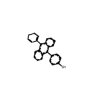 Sc1ccc(-c2c3ccccc3c(C3=CCCC=C3)c3ccccc23)cc1